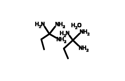 CCC(N)(N)N.CCC(N)(N)N.O